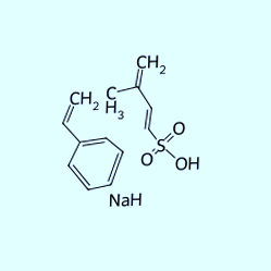 C=C(C)C=CS(=O)(=O)O.C=Cc1ccccc1.[NaH]